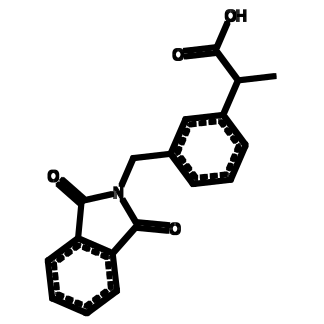 CC(C(=O)O)c1cccc(CN2C(=O)c3ccccc3C2=O)c1